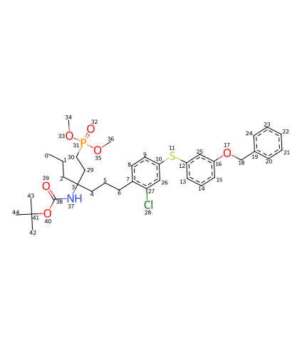 CCCC(CCCc1ccc(Sc2cccc(OCc3ccccc3)c2)cc1Cl)(CCP(=O)(OC)OC)NC(=O)OC(C)(C)C